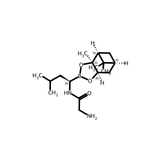 CC(C)C[C@H](NC(=O)CN)B1O[C@@H]2C[C@@H]3C[C@@H](C3(C)C)[C@]2(C)O1